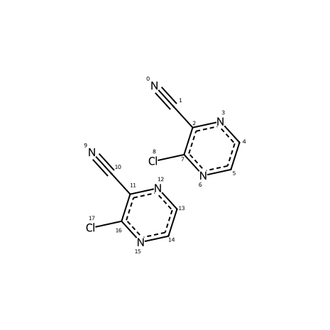 N#Cc1nccnc1Cl.N#Cc1nccnc1Cl